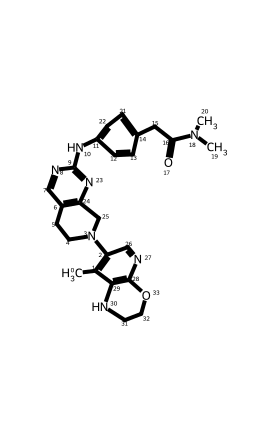 Cc1c(N2CCc3cnc(Nc4ccc(CC(=O)N(C)C)cc4)nc3C2)cnc2c1NCCO2